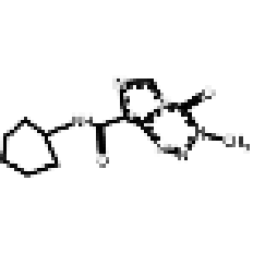 Cn1nnc2c(C(=O)NC3CCCCC3)ncn2c1=O